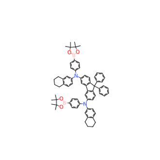 CC1(C)OB(c2ccc(N(c3ccc4c(c3)CCCC4)c3ccc4c(c3)-c3cc(N(c5ccc(B6OC(C)(C)C(C)(C)O6)cc5)c5ccc6c(c5)CCCC6)ccc3C4(c3ccccc3)c3ccccc3)cc2)OC1(C)C